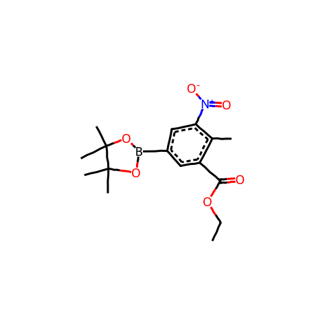 CCOC(=O)c1cc(B2OC(C)(C)C(C)(C)O2)cc([N+](=O)[O-])c1C